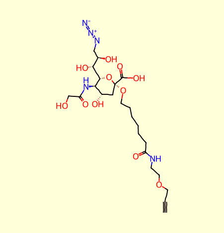 C#CCOCCNC(=O)CCCCCCO[C@]1(C(=O)O)C[C@H](O)[C@@H](NC(=O)CO)[C@H]([C@H](O)[C@H](O)CN=[N+]=[N-])O1